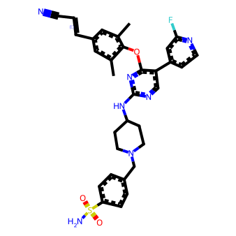 Cc1cc(/C=C/C#N)cc(C)c1Oc1nc(NC2CCN(Cc3ccc(S(N)(=O)=O)cc3)CC2)ncc1-c1ccnc(F)c1